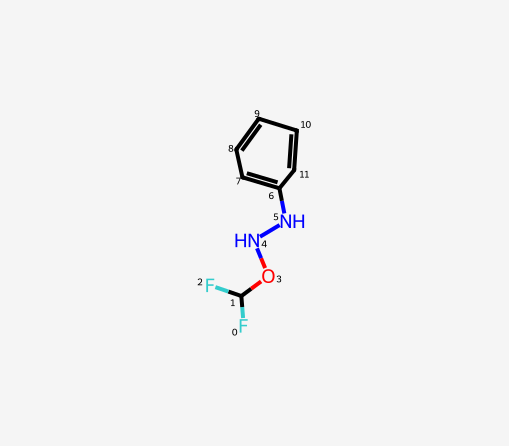 FC(F)ONNc1ccccc1